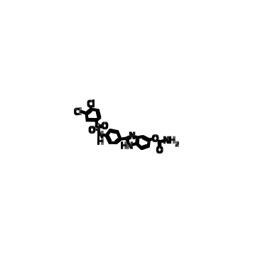 NC(=O)Oc1ccc2[nH]c(-c3ccc(NS(=O)(=O)c4ccc(Cl)c(Cl)c4)cc3)nc2c1